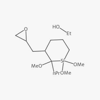 CCCC1(OC)C(CC2CO2)CCC[Si]1(OC)OC.CCO